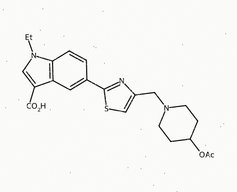 CCn1cc(C(=O)O)c2cc(-c3nc(CN4CCC(OC(C)=O)CC4)cs3)ccc21